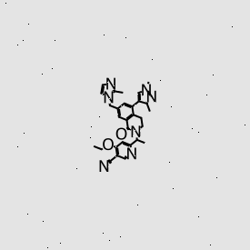 CCOc1cc(C(C)N2CCc3c(cc(Cn4ccnc4C)cc3-c3cn(C)nc3C)C2=O)ncc1C#N